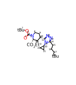 CCOC(=O)[C@H]1CN(C(=O)OC(C)(C)C)CC[C@@H]1c1nnc(CCCC(C)(C)C)n1C1CC1